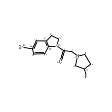 O=C(CN1CCC(F)C1)N1CCc2cc(Br)ccc21